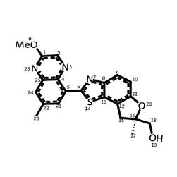 COc1cnc2c(-c3nc4ccc5c(c4s3)C[C@](C)(CO)O5)cc(C)cc2n1